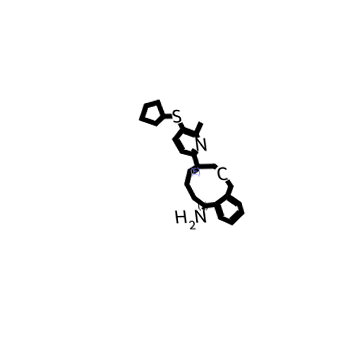 Cc1nc(/C2=C/CC[C@H](N)c3ccccc3CCC2)ccc1SC1CCCC1